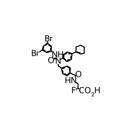 O=C(NCC(F)C(=O)O)c1ccc(CN(C(=O)Nc2cc(Br)cc(Br)c2)c2ccc(C3=CCCCC3)cc2)cc1